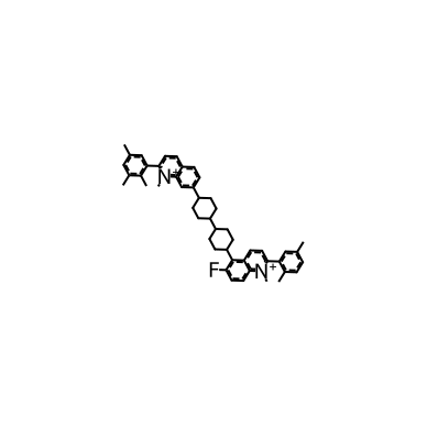 Cc1ccc(C)c(-c2ccc3c(C4CCC(C5CCC(c6ccc7ccc(-c8cc(C)cc(C)c8C)[n+](C)c7c6)CC5)CC4)c(F)ccc3[n+]2C)c1